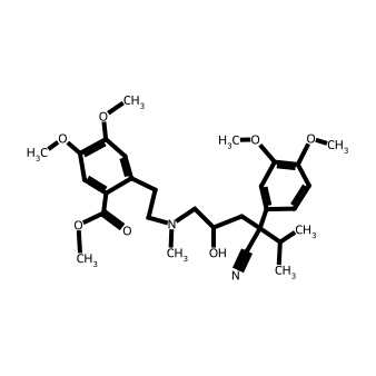 COC(=O)c1cc(OC)c(OC)cc1CCN(C)CC(O)CC(C#N)(c1ccc(OC)c(OC)c1)C(C)C